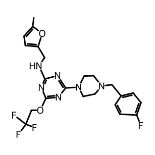 Cc1ccc(CNc2nc(OCC(F)(F)F)nc(N3CCN(Cc4ccc(F)cc4)CC3)n2)o1